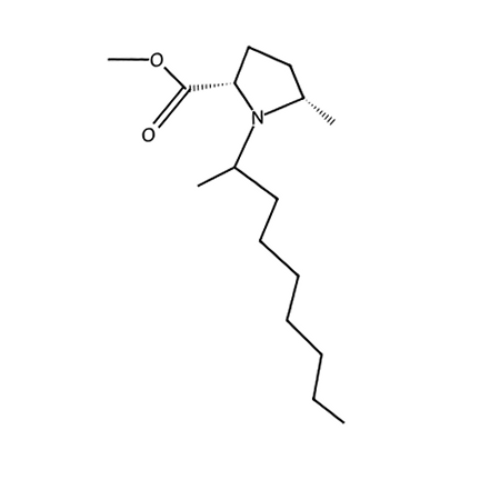 CCCCCCCC(C)N1[C@@H](C)CC[C@H]1C(=O)OC